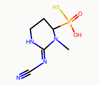 CN1C(=NC#N)NCCC1P(=O)(O)S